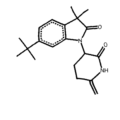 C=C1CCC(N2C(=O)C(C)(C)c3ccc(C(C)(C)C)cc32)C(=O)N1